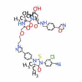 CC(C)(C)[C@H](NC(=O)COCCCn1cc(-c2ccc(N3C(=S)N(c4ccc(C#N)c(Cl)c4)C(=O)C3(C)C)cc2)cn1)C(=O)N1C[C@H](O)C[C@H]1C(=O)NCc1ccc(-c2cnco2)cc1